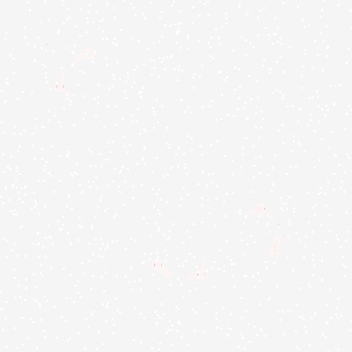 C=C(C)C(=O)Oc1cc(OC(=O)C(=C)C)cc(-c2ccc(-c3ccc(OC(=O)C(C)(C)C)cc3)cc2)c1